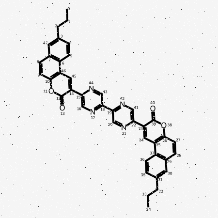 CCCc1ccc2c(ccc3oc(=O)c(-c4cnc(-c5cnc(-c6cc7c(ccc8cc(CCC)ccc87)oc6=O)cn5)cn4)cc32)c1